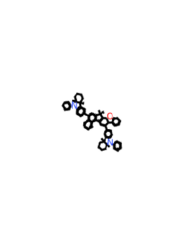 CC1(C)C2=C(C=C(c3ccc4c(c3)C3(C)CCCCC3(C)N4c3ccccc3)C3c4ccccc4OC23)c2c1cc(-c1ccc3c(c1)C1(C)CCCCC1(C)N3c1ccccc1)c1ccccc21